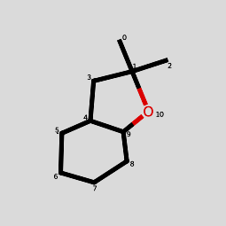 CC1(C)CC2[CH]CCCC2O1